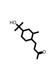 CC(=O)CCC1CCC(C(C)(C)O)CC1C